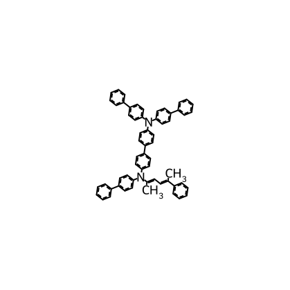 C/C(=C\C=C(/C)N(c1ccc(-c2ccccc2)cc1)c1ccc(-c2ccc(N(c3ccc(-c4ccccc4)cc3)c3ccc(-c4ccccc4)cc3)cc2)cc1)c1ccccc1